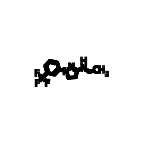 CCNC1=NN(c2cccc(C(F)(F)F)c2)CC1